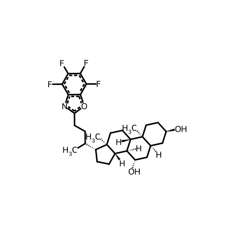 CC(CCc1nc2c(F)c(F)c(F)c(F)c2o1)[C@H]1CC[C@H]2[C@@H]3[C@@H](O)C[C@@H]4C[C@H](O)CC[C@]4(C)[C@H]3CC[C@]12C